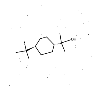 CC(C)(C)[C@H]1CC[C@H](C(C)(C)O)CC1